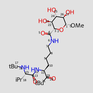 CO[C@@H]1O[C@H](C(=O)NCCCC[C@H](NC(=O)[C@@H](NC(C)(C)C)C(C)C)C(=O)C(C)(C)C)[C@@H](O)[C@H](O)[C@H]1O